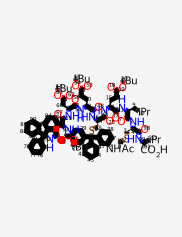 CC(=O)NCSC[C@H](NC(=O)[C@H](CC(C)C)NC(=O)[C@H](CCC(=O)OC(C)(C)C)NC(=O)[C@H](CSC(c1ccccc1)(c1ccccc1)c1ccccc1)NC(=O)[C@H](CCC(=O)OC(C)(C)C)NC(=O)[C@H](CC(=O)OC(C)(C)C)NC(=O)[C@H](CC(=O)NC(c1ccccc1)(c1ccccc1)c1ccccc1)NC(=O)OC(C)(C)C)C(=O)N[C@H](C(=O)O)C(C)C